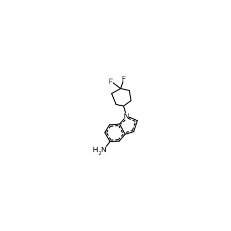 Nc1ccc2c(ccn2C2CCC(F)(F)CC2)c1